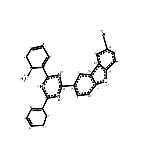 C[C@H]1CC=CC=C1c1nc(C2=CC=CCC2)nc(-c2ccc3oc4ccc(Br)cc4c3c2)n1